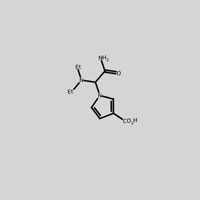 CCN(CC)C(C(N)=O)n1ccc(C(=O)O)c1